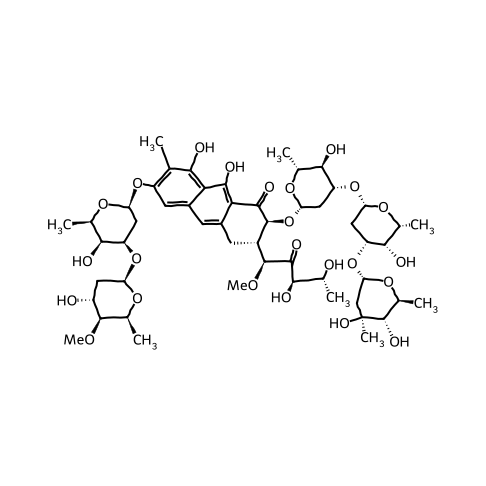 CO[C@H]1[C@H](O)C[C@@H](O[C@@H]2C[C@H](Oc3cc4cc5c(c(O)c4c(O)c3C)C(=O)[C@@H](O[C@H]3C[C@@H](O[C@H]4C[C@@H](O[C@H]6C[C@](C)(O)[C@@H](O)[C@H](C)O6)[C@@H](O)[C@@H](C)O4)[C@H](O)[C@@H](C)O3)[C@H]([C@H](OC)C(=O)[C@H](O)[C@@H](C)O)C5)O[C@H](C)[C@@H]2O)O[C@H]1C